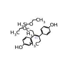 CC/C(=C(/CC)c1ccc(O)cc1)c1ccc(O)cc1.CCO[SiH2]OCC